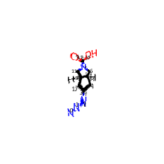 [N-]=[N+]=N[C@@H]1C[C@@H]2CN(C(=O)O)C[C@@H]2C1